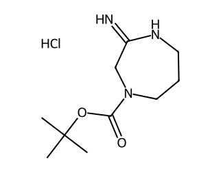 CC(C)(C)OC(=O)N1CCCNC(=N)C1.Cl